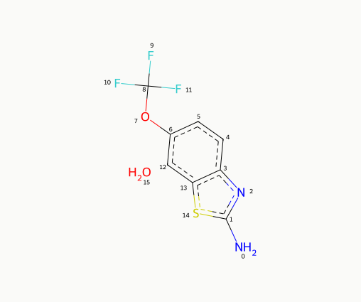 Nc1nc2ccc(OC(F)(F)F)cc2s1.O